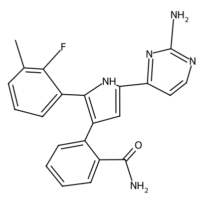 Cc1cccc(-c2[nH]c(-c3ccnc(N)n3)cc2-c2ccccc2C(N)=O)c1F